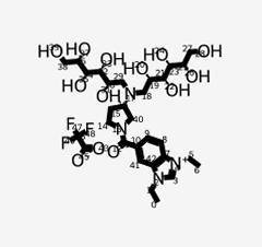 CCn1c[n+](CC)c2ccc(C(=O)N3CC[C@H](N(C[C@H](O)[C@@H](O)[C@H](O)[C@H](O)CO)C[C@H](O)[C@@H](O)[C@H](O)[C@H](O)CO)C3)cc21.O=C([O-])C(F)(F)F